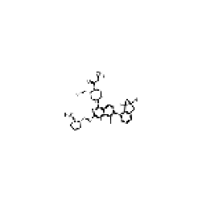 C=CC(=O)N1CCN(c2nc(OC[C@@H]3CCCN3C)nc3c(F)c(-c4cccc5c4[C@@H]4C[C@@H]4C5)ccc23)C[C@@H]1CC#N